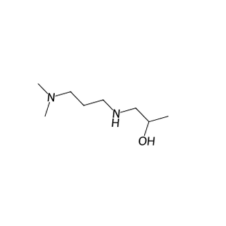 CC(O)CNCCCN(C)C